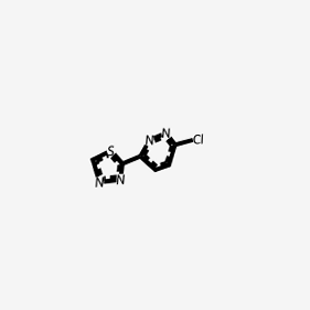 Clc1ccc(-c2nncs2)nn1